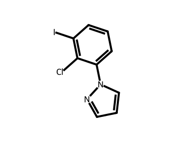 Clc1c(I)cccc1-n1cccn1